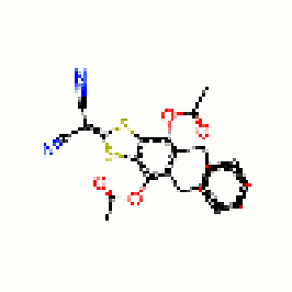 CC(=O)Oc1c2c(c(OC(C)=O)c3c1C1c4ccccc4C3c3ccccc31)SC(=C(C#N)C#N)S2